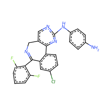 Nc1ccc(Nc2ncc3c(n2)-c2ccc(Cl)cc2C(c2c(F)cccc2F)=NC3)cc1